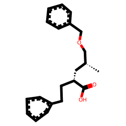 C[C@@H](COCc1ccccc1)C[C@@H](CCc1ccccc1)C(=O)O